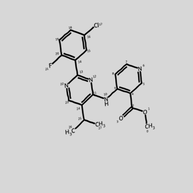 COC(=O)c1cnccc1Nc1nc(-c2cc(Cl)ccc2F)ncc1C(C)C